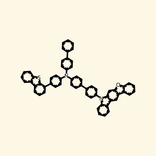 c1ccc(-c2ccc(N(c3ccc(-c4ccc(-n5c6ccccc6c6cc7c(cc65)oc5ccccc57)cc4)cc3)c3ccc(-c4cccc5c4sc4ccccc45)cc3)cc2)cc1